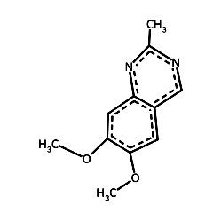 COc1cc2cnc(C)nc2cc1OC